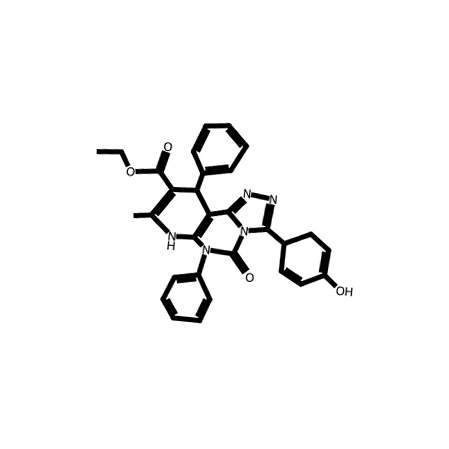 CCOC(=O)C1=C(C)Nc2c(c3nnc(C4C=CC(O)=CC4)n3c(=O)n2-c2ccccc2)C1c1ccccc1